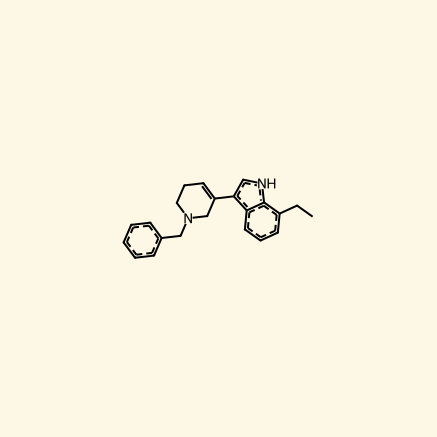 CCc1cccc2c(C3=CCCN(Cc4ccccc4)C3)c[nH]c12